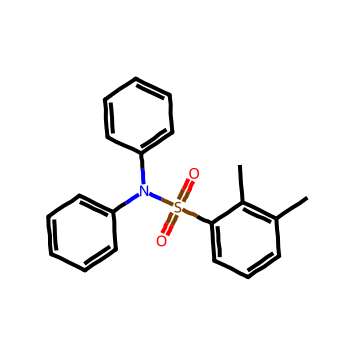 Cc1cccc(S(=O)(=O)N(c2ccccc2)c2ccccc2)c1C